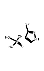 CCCc1cc[nH]n1.O=P(O)(O)O